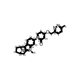 Cc1ccc(COc2ccn(-c3ccc4c5c(n(C)c4c3)CC3CCC5N3)c(=O)c2)nn1